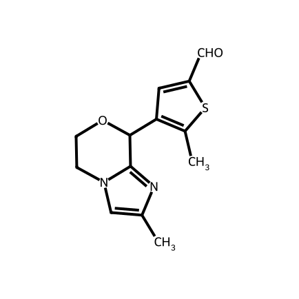 Cc1cn2c(n1)C(c1cc(C=O)sc1C)OCC2